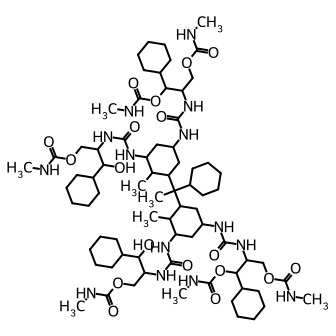 CNC(=O)OCC(NC(=O)NC1CC(NC(=O)NC(COC(=O)NC)C(OC(=O)NC)C2CCCCC2)CC(C(C)(C2CCCCC2)C2CC(NC(=O)NC(COC(=O)NC)C(OC(=O)NC)C3CCCCC3)CC(NC(=O)NC(COC(=O)NC)C(O)C3CCCCC3)C2C)C1C)C(O)C1CCCCC1